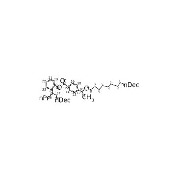 CCCCCCCCCCCCCCCCCCOC(C)c1ccc(C(=O)Oc2ccccc2C(CCC)CCCCCCCCCCC)cc1